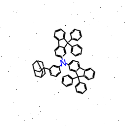 c1ccc(C2(c3ccccc3)c3ccccc3-c3ccc(N(c4cccc(C56CC7CC(CC(C7)C5)C6)c4)c4ccc5c(c4)C(c4ccccc4)(c4ccccc4)c4ccccc4-5)cc32)cc1